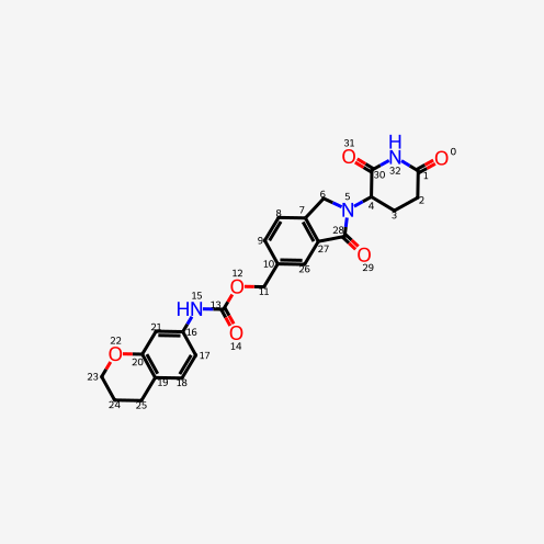 O=C1CCC(N2Cc3ccc(COC(=O)Nc4ccc5c(c4)OCCC5)cc3C2=O)C(=O)N1